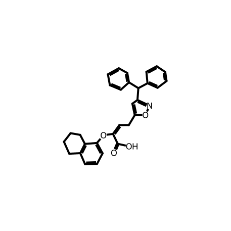 O=C(O)C(=CCc1cc(C(c2ccccc2)c2ccccc2)no1)Oc1cccc2c1CCCC2